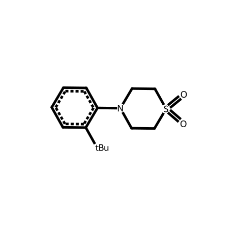 CC(C)(C)c1ccccc1N1CCS(=O)(=O)CC1